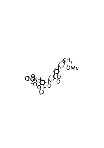 COC[C@H]1CN(c2ccc3c4c(c(=O)oc3c2)CN(C(=O)c2ccc(C(=O)NS(=O)(=O)N3CCCC3)c(OC3CCCC3)c2F)CC4)CCN1C